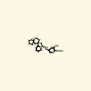 COc1ncc(CNCC[C@]2(c3ccccn3)CCOC3(CCCC3)C2)cc1C#N